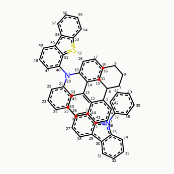 C1=c2cccc(C3CCCCC3)c2=C(c2ccccc2N(c2cccc(-c3ccc4c5ccccc5n(-c5ccccc5)c4c3)c2)c2cccc3c2sc2ccccc23)CC1